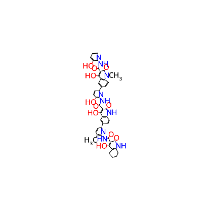 Cc1ccc(-c2ccc3[nH]c(=O)c(C(=O)Nc4nc(-c5ccc6c(c5)c(O)c(C(=O)Nc5ncccc5O)c(=O)n6C)ccc4O)c(O)c3c2)nc1NC(=O)c1c(O)c2c([nH]c1=O)CCCC2